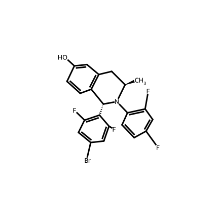 C[C@@H]1Cc2cc(O)ccc2[C@@H](c2c(F)cc(Br)cc2F)N1c1ccc(F)cc1F